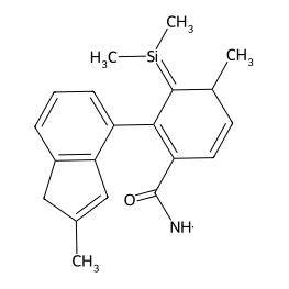 CC1=Cc2c(cccc2C2=C(C([NH])=O)C=CC(C)C2=[Si](C)C)C1